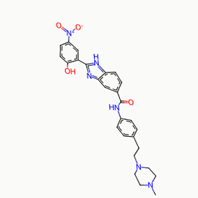 CN1CCN(CCc2ccc(NC(=O)c3ccc4[nH]c(-c5cc([N+](=O)[O-])ccc5O)nc4c3)cc2)CC1